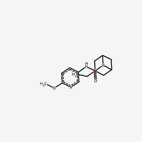 CCN1CC2CC(C1)N2C(=O)Nc1ccc(OC)nc1